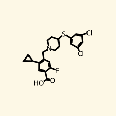 O=C(O)c1cc(C2CC2)c(CN2CCC(Sc3cc(Cl)cc(Cl)c3)CC2)cc1F